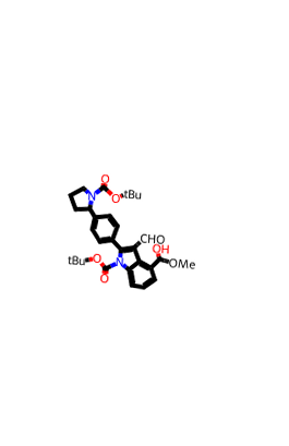 COC(O)c1cccc2c1c(C=O)c(-c1ccc(C3CCCN3C(=O)OC(C)(C)C)cc1)n2C(=O)OC(C)(C)C